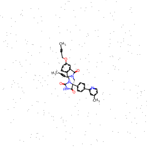 CC#CCOc1ccc2c(c1)C(=O)N(C[C@]1(c3ccc(-c4cc(C)ccn4)cc3)C(=O)NC(=O)N1CC#CC)C2